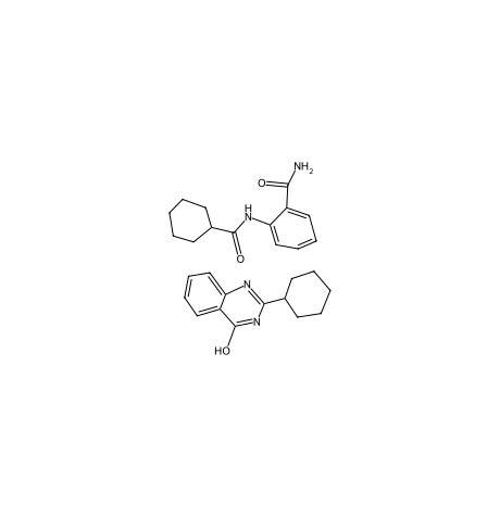 NC(=O)c1ccccc1NC(=O)C1CCCCC1.Oc1nc(C2CCCCC2)nc2ccccc12